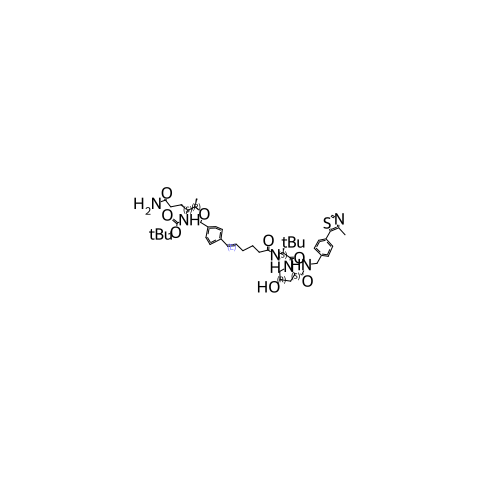 Cc1ncsc1-c1ccc(CNC(=O)[C@@H]2C[C@@H](O)CN2C(=O)[C@@H](NC(=O)CCC/C=C/c2ccc(CO[C@H](C)[C@H](CCC(N)=O)NC(=O)OC(C)(C)C)cc2)C(C)(C)C)cc1